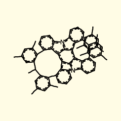 Cc1cc(C)c(-c2cccc3c2c2c4c5c(-c6c(C)cc(C)cc6C)cccc5n5c6cccc7c6c(c6c8c(cccc8n3c26)-c2c(C)cc(C)cc2C(C)c2cc(C)cc(C)c2-7)c45)c(C)c1